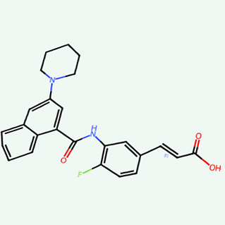 O=C(O)/C=C/c1ccc(F)c(NC(=O)c2cc(N3CCCCC3)cc3ccccc23)c1